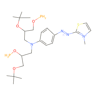 C[n+]1ccsc1/N=N/c1ccc(N(CC(COC(C)(C)C)OP)CC(COP)OC(C)(C)C)cc1